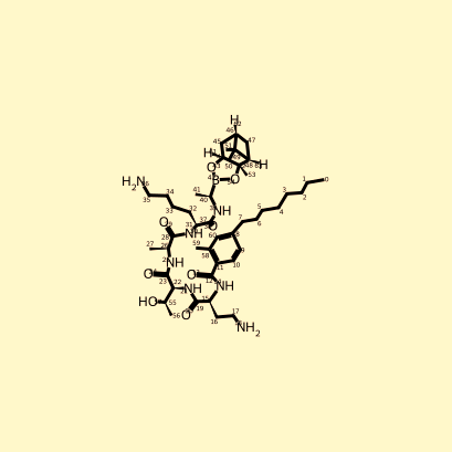 CCCCCCCCc1ccc(C(=O)N[C@@H](CCN)C(=O)N[C@H](C(=O)N[C@@H](C)C(=O)N[C@@H](CCCCN)C(=O)N[C@@H](C)B2O[C@@H]3C[C@@H]4C[C@@H](C4(C)C)[C@]3(C)O2)[C@@H](C)O)c(C)c1